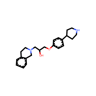 OC(COc1ccc(C2CCNCC2)cc1)CN1CCc2ccccc2C1